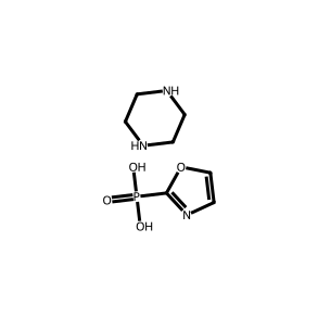 C1CNCCN1.O=P(O)(O)c1ncco1